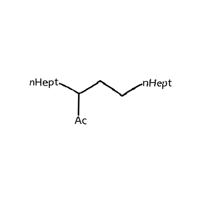 CCCCCCCCCC(CCCCCCC)C(C)=O